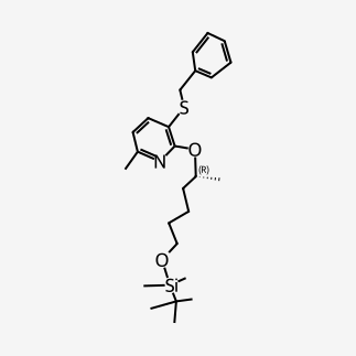 Cc1ccc(SCc2ccccc2)c(O[C@H](C)CCCCO[Si](C)(C)C(C)(C)C)n1